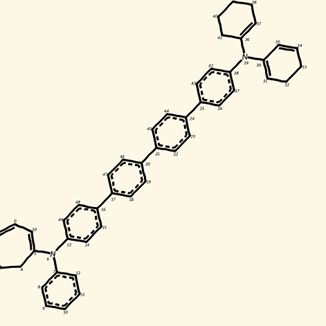 C1=CCCCC(N(c2ccccc2)c2ccc(-c3ccc(-c4ccc(-c5ccc(N(C6=CCCC=C6)C6=CCCCC6)cc5)cc4)cc3)cc2)=C1